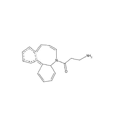 NCCC(=O)N1\C=C/C=c2/cccc/c2=C2\C=CC=CC21